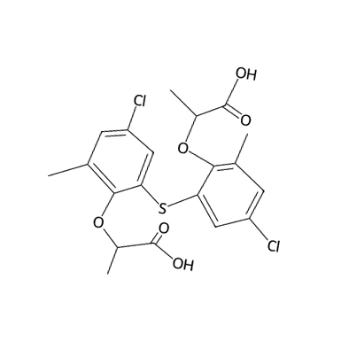 Cc1cc(Cl)cc(Sc2cc(Cl)cc(C)c2OC(C)C(=O)O)c1OC(C)C(=O)O